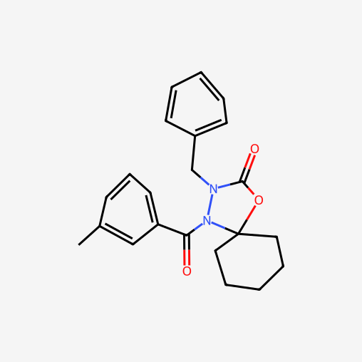 Cc1cccc(C(=O)N2N(Cc3ccccc3)C(=O)OC23CCCCC3)c1